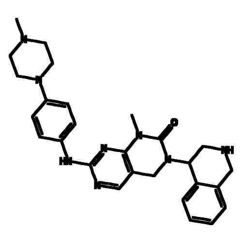 CN1CCN(c2ccc(Nc3ncc4c(n3)N(C)C(=O)N(C3CNCc5ccccc53)C4)cc2)CC1